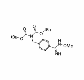 CONC(=N)c1ccc(CN(C(=O)OC(C)(C)C)C(=O)OC(C)(C)C)cc1